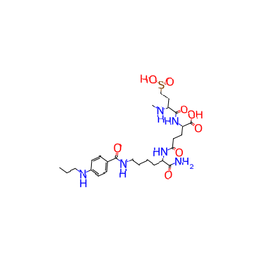 CCCNc1ccc(C(=O)NCCCCC(NC(=O)CCC(NC(=O)C(CCS(=O)O)NC)C(=O)O)C(N)=O)cc1